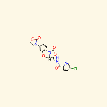 O=C(NC[C@@H]1OC(=O)N2c3ccc(N4CCOC4=O)cc3OC[C@@H]12)c1ccc(Cl)cn1